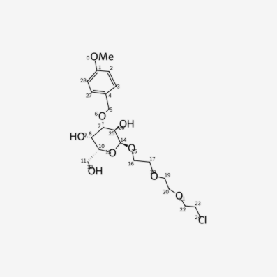 COc1ccc(CO[C@H]2[C@@H](O)[C@@H](CO)O[C@H](OCCOCCOCCCl)[C@@H]2O)cc1